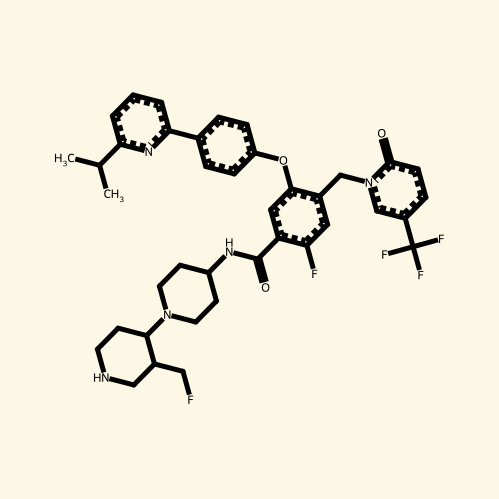 CC(C)c1cccc(-c2ccc(Oc3cc(C(=O)NC4CCN(C5CCNCC5CF)CC4)c(F)cc3Cn3cc(C(F)(F)F)ccc3=O)cc2)n1